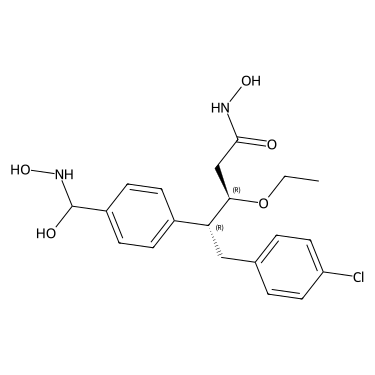 CCO[C@H](CC(=O)NO)[C@H](Cc1ccc(Cl)cc1)c1ccc(C(O)NO)cc1